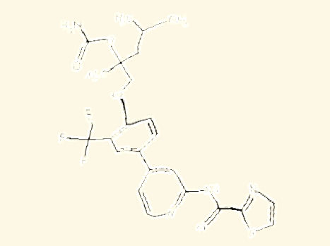 CC(C)CC(C)(COc1ccc(-c2ccnc(NC(=O)c3nccs3)c2)cc1C(F)(F)F)OC(N)=O